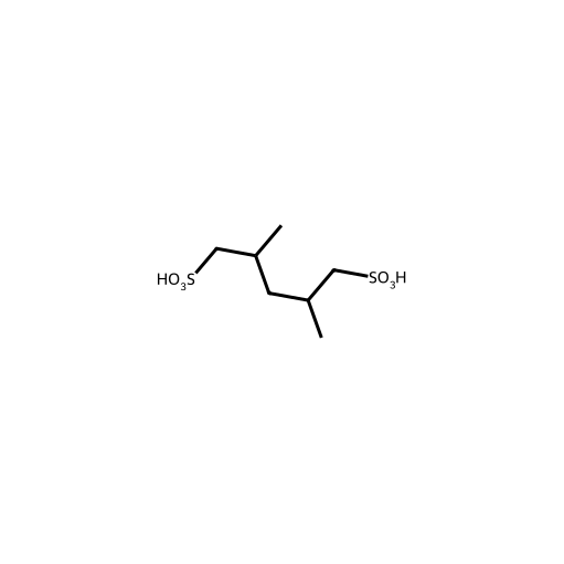 CC(CC(C)CS(=O)(=O)O)CS(=O)(=O)O